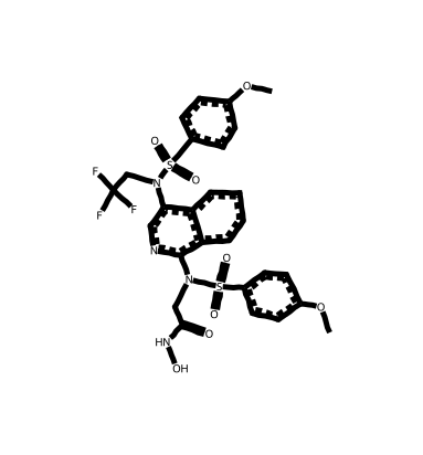 COc1ccc(S(=O)(=O)N(CC(F)(F)F)c2cnc(N(CC(=O)NO)S(=O)(=O)c3ccc(OC)cc3)c3ccccc23)cc1